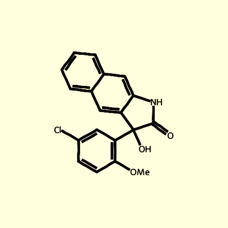 COc1ccc(Cl)cc1C1(O)C(=O)Nc2cc3ccccc3cc21